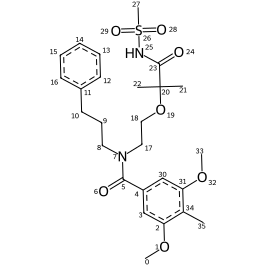 COc1cc(C(=O)N(CCCc2ccccc2)CCOC(C)(C)C(=O)NS(C)(=O)=O)cc(OC)c1C